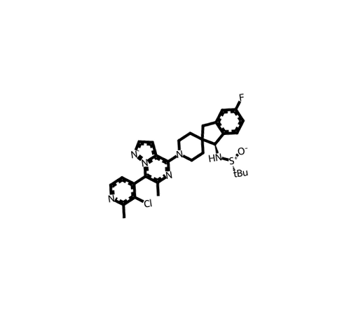 Cc1nccc(-c2c(C)nc(N3CCC4(CC3)Cc3cc(F)ccc3[C@H]4N[S@+]([O-])C(C)(C)C)c3ccnn23)c1Cl